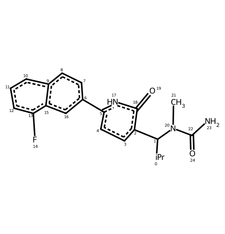 CC(C)C(c1ccc(-c2ccc3cccc(F)c3c2)[nH]c1=O)N(C)C(N)=O